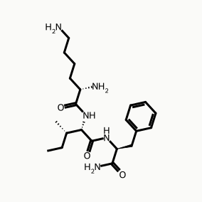 CC[C@H](C)[C@H](NC(=O)[C@@H](N)CCCCN)C(=O)N[C@@H](Cc1ccccc1)C(N)=O